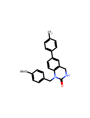 COc1ccc(CN2C(=O)NCc3cc(-c4ccc(C(F)(F)F)cc4)ccc32)cc1